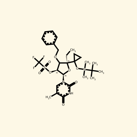 CC[C@]1(C2(O[Si](C)(C)C(C)(C)C)CC2)O[C@@H](n2cc(C)c(=O)[nH]c2=O)[C@@H](OS(=O)(=O)C(F)(F)F)C1OCc1ccccc1